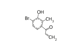 C=CC(=O)c1ccc(Br)c(O)c1C